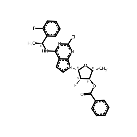 [CH2][C@H]1O[C@@H](n2ccc3c(N[C@@H](C)c4ccccc4F)nc(Cl)nc32)[C@@H](F)[C@@H]1OC(=O)c1ccccc1